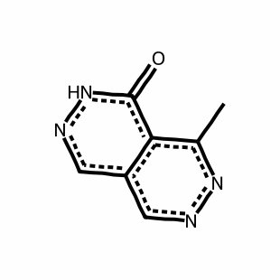 Cc1nncc2cn[nH]c(=O)c12